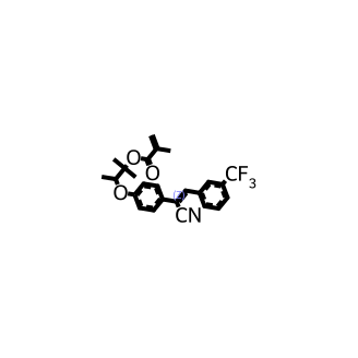 C=C(C)C(=O)OC(C)(C)C(C)Oc1ccc(/C(C#N)=C/c2cccc(C(F)(F)F)c2)cc1